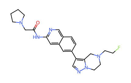 O=C(CN1CCCC1)Nc1cc2cc(-c3cnn4c3CN(CCF)CC4)ccc2cn1